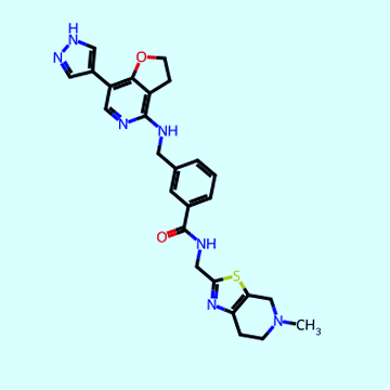 CN1CCc2nc(CNC(=O)c3cccc(CNc4ncc(-c5cn[nH]c5)c5c4CCO5)c3)sc2C1